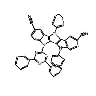 N#Cc1ccc2c(c1)c1c(c3c(c4cc(C#N)ccc4n3-c3nc(-c4ccccc4)nc(-c4ccccc4)n3)n1C1=CCCC=C1)n2-c1ccccc1